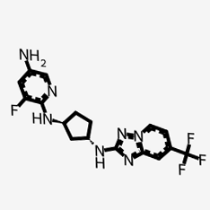 Nc1cnc(N[C@H]2CC[C@H](Nc3nc4cc(C(F)(F)F)ccn4n3)C2)c(F)c1